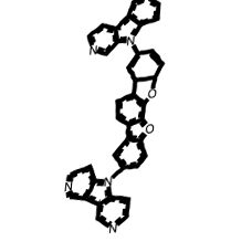 C1=CC2Oc3c(ccc4c3oc3ccc(-n5c6ccncc6c6cnccc65)cc34)C2C=C1n1c2ccncc2c2ccncc21